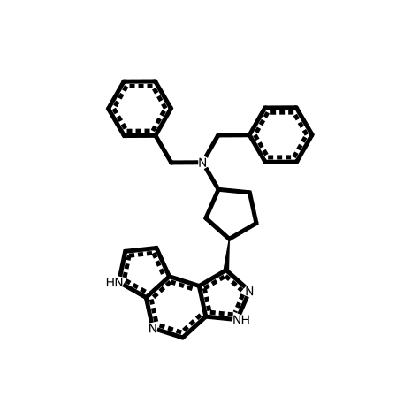 c1ccc(CN(Cc2ccccc2)C2CC[C@@H](c3n[nH]c4cnc5[nH]ccc5c34)C2)cc1